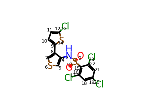 O=S(=O)(Nc1cscc1-c1ccc(Cl)s1)c1c(Cl)cc(Cl)cc1Cl